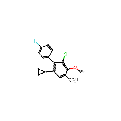 CC(C)Oc1c(C(=O)O)cc(C2CC2)c(-c2ccc(F)cc2)c1Cl